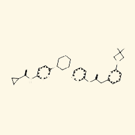 O=C(Cc1cccc(N2CC(F)(F)C2)n1)Nc1ccc([C@H]2CCC[C@H](c3ccc(NC(=O)C4CC4)nn3)C2)nn1